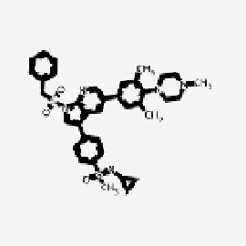 Cc1cc(-c2cnc3c(c2)c(-c2ccc(S(C)(=O)=NC4CC4)cc2)cn3S(=O)(=O)Cc2ccccc2)cc(C)c1N1CCN(C)CC1